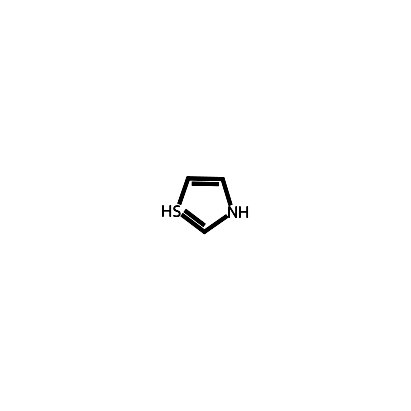 C1=C[SH]=CN1